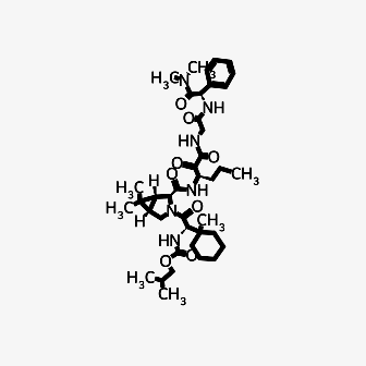 CCC[C@@H](NC(=O)[C@@H]1[C@@H]2[C@H](CN1C(=O)[C@@H](NC(=O)OCC(C)C)C1(C)CCCCC1)C2(C)C)C(=O)C(=O)NCC(=O)N[C@H](C(=O)N(C)C)c1ccccc1